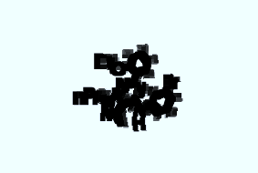 CCCc1nc(C)c2c(Nc3cccc(Br)c3)nc(-c3ccccc3OCC)nn12